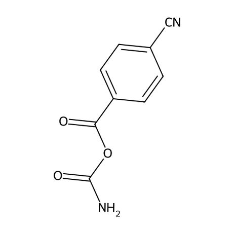 N#Cc1ccc(C(=O)OC(N)=O)cc1